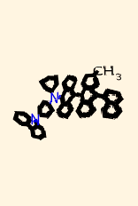 Cc1ccc2c(-c3c4ccccc4c(N(c4ccccc4)c4ccc(-n5c6ccccc6c6ccccc65)cc4)c4ccccc34)c3ccccc3c(-c3cccc4ccccc34)c2c1